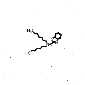 CCCCCCCN(CCCCCCC)Sc1nc2ccccc2s1